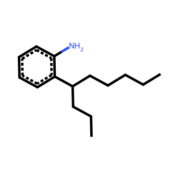 CCCCCC(CCC)c1ccccc1N